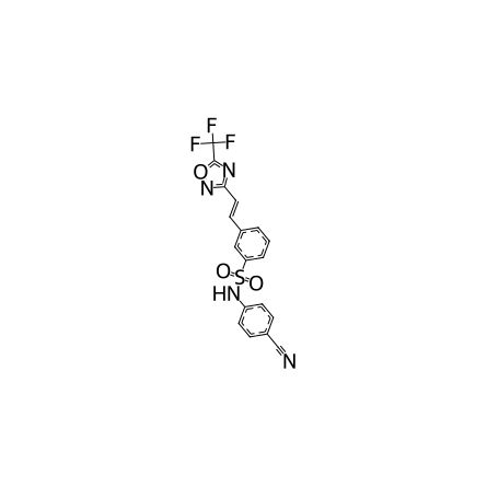 N#Cc1ccc(NS(=O)(=O)c2cccc(/C=C/c3noc(C(F)(F)F)n3)c2)cc1